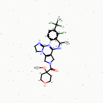 COC1(C(=O)N2CC3=C(C2)N2CCN=C2N=C3NC(C)c2cccc(C(C)(F)F)c2F)CCOCC1